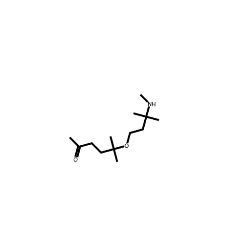 CNC(C)(C)CCOC(C)(C)CCC(C)=O